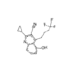 N#Cc1c(C2CC2)nc2cccc(O)c2c1CCCC(F)(F)F